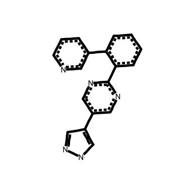 C1=N[N]C=C1c1cnc(-c2ccccc2-c2cccnc2)nc1